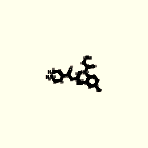 CC(C)(C)OC(=O)Nc1ccc(Br)cc1NC(=O)CC(=O)C(/C=C\N)=C/N